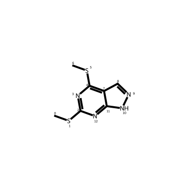 CSc1nc(SC)c2cn[nH]c2n1